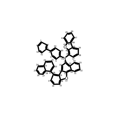 c1ccc(-c2ccc(N(c3cc4c(oc5cccc(-c6cccc7ccccc67)c54)c4ccccc34)c3cccc4c3oc3ccccc34)cc2)cc1